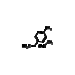 CNC.Cc1ccc(CC(=O)O)cc1